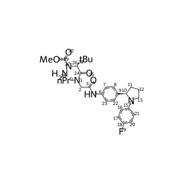 CCCN(CC(=O)Nc1ccc([C@H]2CCCN2c2ccc(F)cc2)cc1)C(=O)[C@@H](N(N)C(=O)OC)C(C)(C)C